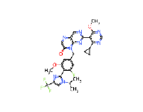 COc1cc(Cn2c(=O)cnc3cnc(-c4c(OC)ncnc4C4CC4)nc32)cc(F)c1-c1nc(C(F)(F)F)cn1C(C)C